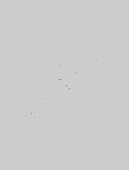 CCC(C)(N)CNC(=O)c1c(OC)nc2c(OCc3c(F)cccc3F)cc(C)cn12